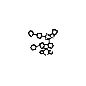 c1ccc(-c2ccc(-c3nc(-c4cccc5c4-c4ccc(-c6ccccc6)cc4C54c5ccccc5Oc5ccccc54)c4sc5ccccc5c4n3)cc2)cc1